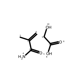 C=C(C)C(N)=O.O=C(O)CO